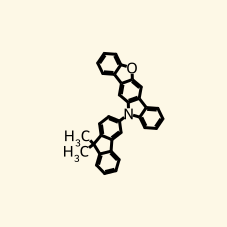 CC1(C)c2ccccc2-c2cc(-n3c4ccccc4c4cc5oc6ccccc6c5cc43)ccc21